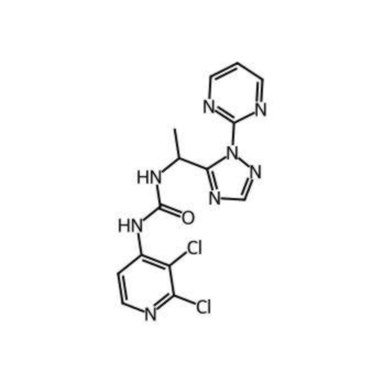 CC(NC(=O)Nc1ccnc(Cl)c1Cl)c1ncnn1-c1ncccn1